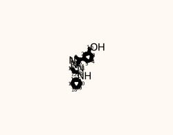 OCc1cccc(-c2cnn3ccc(Nc4ccccc4)nc23)c1